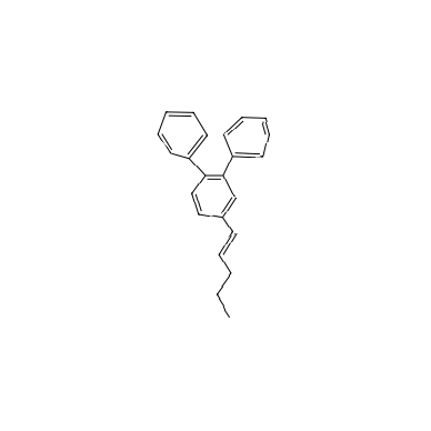 CCCC=Cc1ccc(-c2ccccc2)c(-c2ccccc2)c1